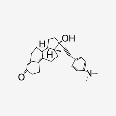 CN(C)c1ccc(C#C[C@@]2(O)CC[C@H]3[C@@H]4CCC5=CC(=O)CCC5=C4CC[C@]32C)cc1